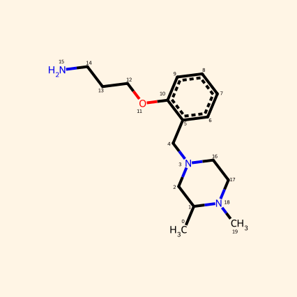 CC1CN(Cc2ccccc2OCCCN)CCN1C